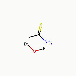 CC(N)=S.CCOCC